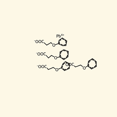 O=C([O-])CCOc1ccccc1.O=C([O-])CCOc1ccccc1.O=C([O-])CCOc1ccccc1.O=C([O-])CCOc1ccccc1.[Pb+4]